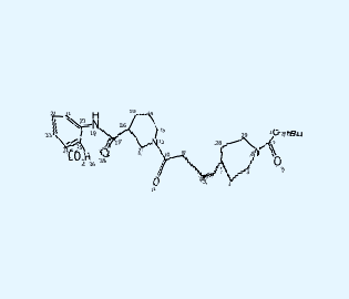 CC(C)(C)OC(=O)N1CCC(CCC(=O)N2CCCC(C(=O)Nc3ccccc3C(=O)O)C2)CC1